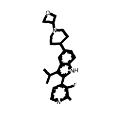 Cc1nccc(-c2[nH]c3ccc(C4CCN(C5COC5)CC4)cc3c2C(C)C)c1F